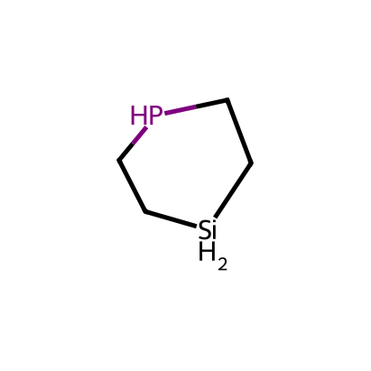 C1CPCC[SiH2]1